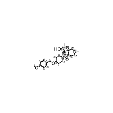 COc1ccc(COC2CCN(S(=O)(=O)C3CCNCC3(O)C(=O)NO)CC2)cc1